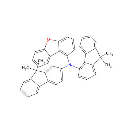 CC1(C)c2ccccc2-c2ccc(N(c3cccc4c3-c3ccccc3C4(C)C)c3cccc4oc5ccccc5c34)cc21